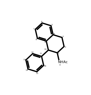 CC(=O)NC1CCc2ccccc2C1c1ccccc1